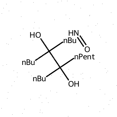 CCCCCC(O)(CCCC)C(O)(CCCC)CCCC.N=O